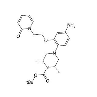 C[C@@H]1CN(c2ccc(N)cc2OCCn2ccccc2=O)C[C@H](C)N1C(=O)OC(C)(C)C